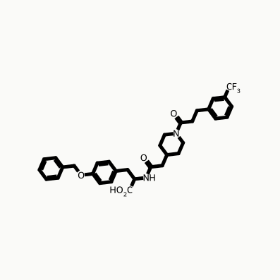 O=C(CC1CCN(C(=O)CCc2cccc(C(F)(F)F)c2)CC1)NC(Cc1ccc(OCc2ccccc2)cc1)C(=O)O